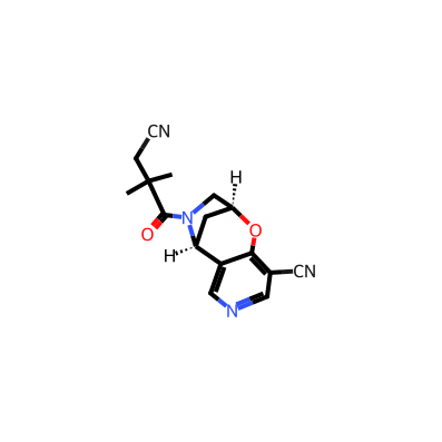 CC(C)(CC#N)C(=O)N1C[C@@H]2C[C@H]1c1cncc(C#N)c1O2